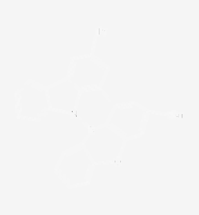 CC(C)c1cc2c3c(c1)c1ccccc1n3B1c3ccccc3Oc3cc(C(C)(C)C)cc-2c31